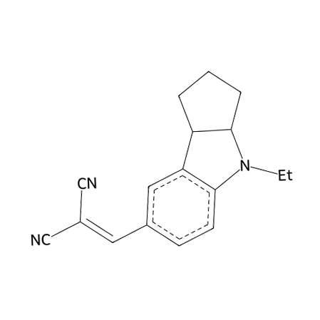 CCN1c2ccc(C=C(C#N)C#N)cc2C2CCCC21